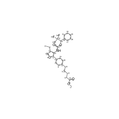 CCc1noc(-c2ccc(CSCCC(=O)OC)cc2)c1NC(=O)OC(c1ccccc1)C(F)(F)F